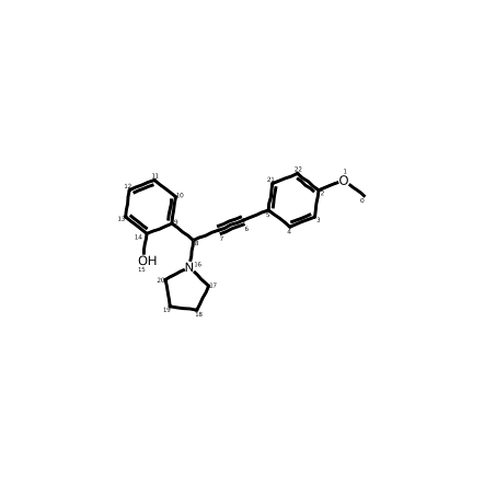 COc1ccc(C#CC(c2ccccc2O)N2CCCC2)cc1